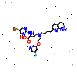 O=C(O)C(CCN(CCCCc1ccc2c(n1)NCCC2)CCOc1cncc(F)c1)Nc1ncc(Br)cn1